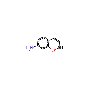 Nc1ccc2c(c1)OBC=C2